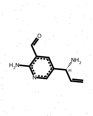 C=C[C@@H](N)c1cnc(N)c(C=O)c1